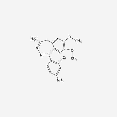 COc1cc2c(cc1OC)C(c1ccc(N)cc1Cl)=NN=C(C)C2